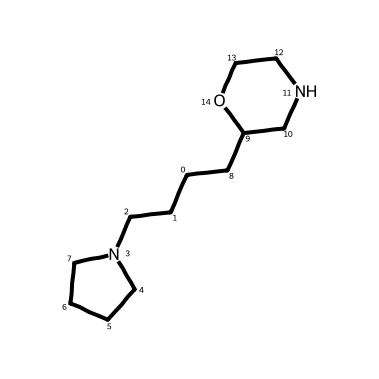 C(CCN1CCCC1)CC1CNCCO1